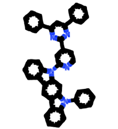 c1ccc(-c2cc(-c3ccccc3)nc(-c3ccnc(-n4c5ccccc5c5cc6c7ccccc7n(-c7ccccc7)c6cc54)c3)n2)cc1